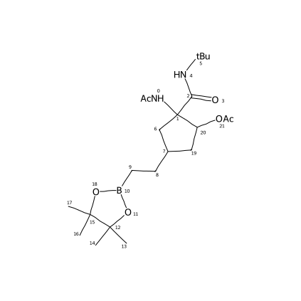 CC(=O)NC1(C(=O)NC(C)(C)C)CC(CCB2OC(C)(C)C(C)(C)O2)CC1OC(C)=O